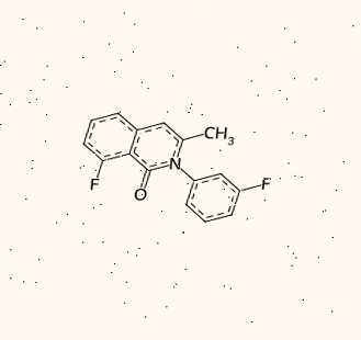 Cc1cc2cccc(F)c2c(=O)n1-c1cccc(F)c1